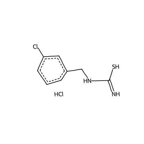 Cl.N=C(S)NCc1cccc(Cl)c1